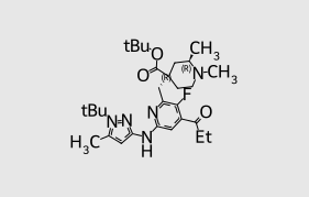 CCC(=O)c1cc(Nc2cc(C)n(C(C)(C)C)n2)nc(C[C@@]2(C(=O)OC(C)(C)C)CCN(C)[C@H](C)C2)c1F